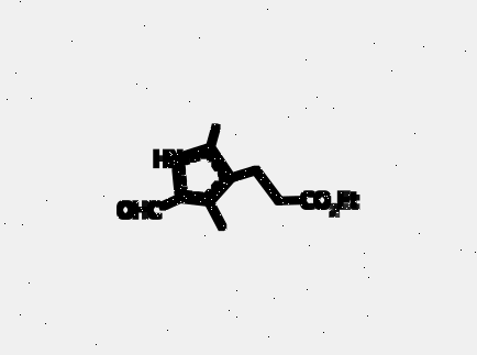 CCOC(=O)CCc1c(C)[nH]c(C=O)c1C